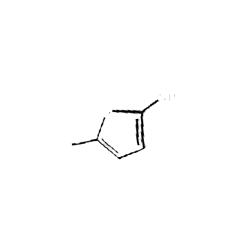 Cc1ccc([SiH2])s1